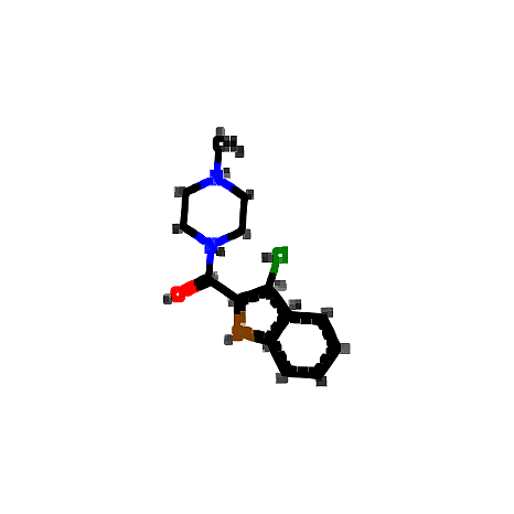 CN1CCN(C(=O)c2sc3ccccc3c2Cl)CC1